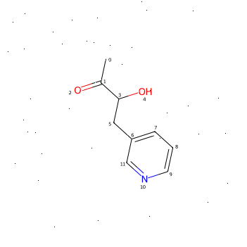 CC(=O)C(O)Cc1cccnc1